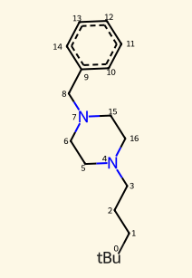 CC(C)(C)CCCN1CCN(Cc2ccccc2)CC1